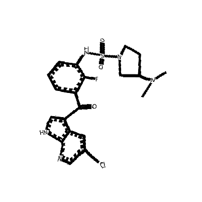 CN(C)C1CCN(S(=O)(=O)Nc2cccc(C(=O)c3c[nH]c4ncc(Cl)cc34)c2F)C1